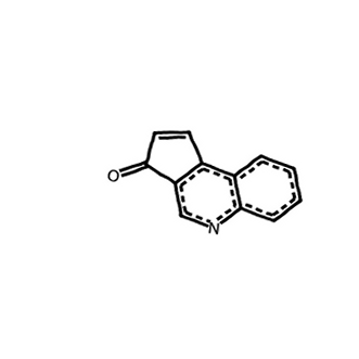 O=C1C=Cc2c1cnc1ccccc21